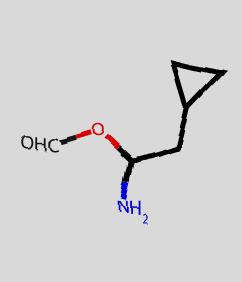 NC(CC1CC1)OC=O